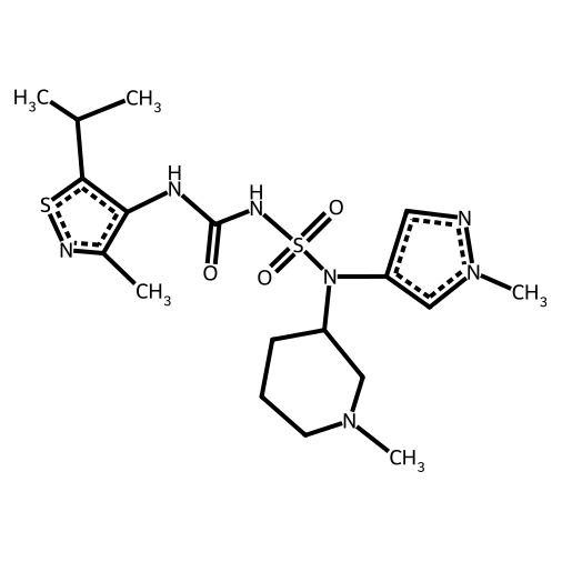 Cc1nsc(C(C)C)c1NC(=O)NS(=O)(=O)N(c1cnn(C)c1)C1CCCN(C)C1